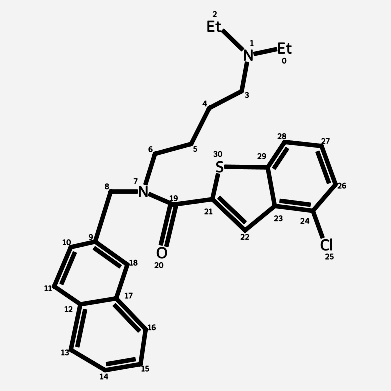 CCN(CC)CCCCN(Cc1ccc2ccccc2c1)C(=O)c1cc2c(Cl)cccc2s1